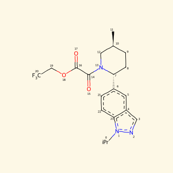 CC(C)n1ncc2cc([C@H]3CC[C@H](C)CN3C(=O)C(=O)OCC(F)(F)F)ccc21